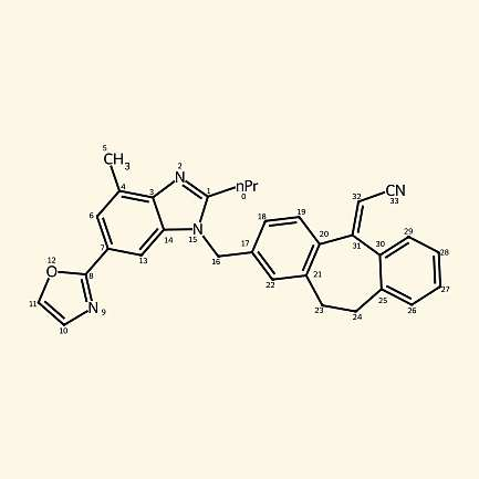 CCCc1nc2c(C)cc(-c3ncco3)cc2n1Cc1ccc2c(c1)CCc1ccccc1/C2=C\C#N